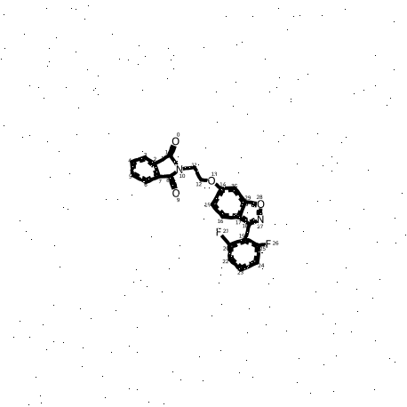 O=C1c2ccccc2C(=O)N1CCOc1ccc2c(-c3c(F)cccc3F)noc2c1